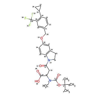 CN(C(=O)OC(C)(C)C)C(CC(=O)N1CCc2cc(OCc3ccc(C4CC4)c(C(F)(F)F)c3)ccc21)C(=O)O